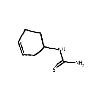 NC(=S)NC1CC=CCC1